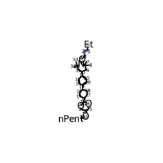 CC/C=C/CON1C(C)(C)CC(c2ccc(C3CCC(C4OCC(OCCCCC)CO4)CC3)cc2)CC1(C)C